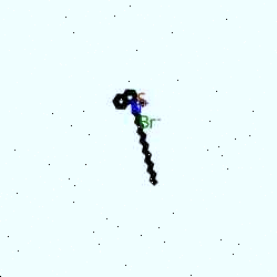 CCCCCCCCCCCCCCCC[n+]1csc2ccc3ccccc3c21.[Br-]